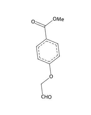 COC(=O)c1ccc(OCC=O)cc1